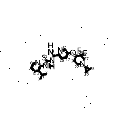 CC(C)c1cccnc1NC(=S)NC(=N)c1ccc(OC2CCN(C3CC3)CC2(F)F)cn1